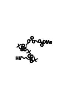 COC(=O)OCCOC(=O)OCCC[Si]1(OCC(C)(C)CO[Si]2(CCCCS)OCC(C)(C)CO2)OCC(C)(C)CO1